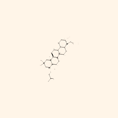 CC(O)CO[C@@H]1CC(C)(C)C[C@H]2C3=CCC4[C@@]5(C)CC[C@H](O)[C@](C)(CO)C5CC[C@@]4(C)[C@]3(C)CC[C@@]12C